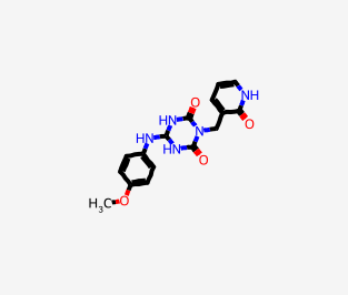 COc1ccc(NC2NC(=O)N(Cc3ccc[nH]c3=O)C(=O)N2)cc1